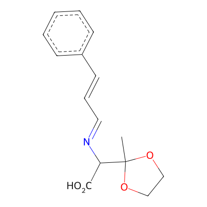 CC1(C(N=CC=Cc2ccccc2)C(=O)O)OCCO1